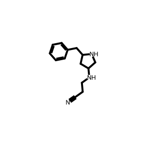 N#CCCNC1CNC(Cc2ccccc2)C1